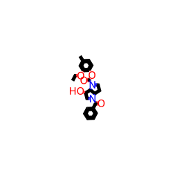 CCOc1cc(C)ccc1OC(=O)N1CCC2C1C(O)CN2C(=O)c1ccccc1